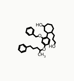 CC(CCCc1ccccc1)Oc1ccc(C2CC(O)CCCC2CCCO)c(OCc2ccccc2)c1